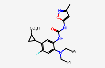 Cc1cc(NC(=O)Nc2cc(C3CC3C(=O)O)c(F)cc2N(CC(C)C)CC(C)C)on1